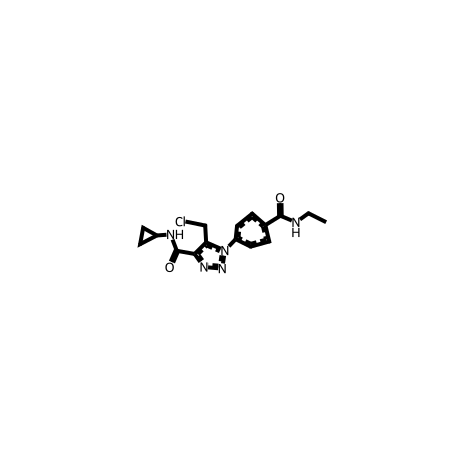 CCNC(=O)c1ccc(-n2nnc(C(=O)NC3CC3)c2CCl)cc1